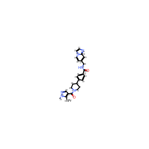 CCCc1c(C(=O)N2CCC(c3ccc(C(=O)NCc4ccn5ccnc5c4)cc3)CC2)cnn1C